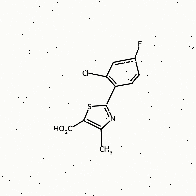 Cc1nc(-c2ccc(F)cc2Cl)sc1C(=O)O